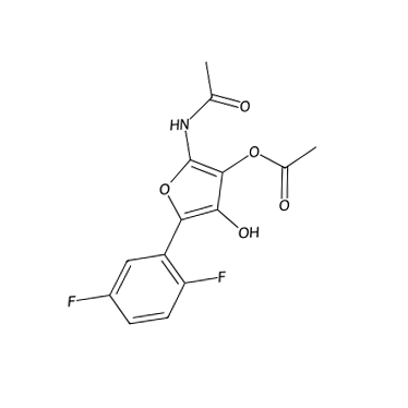 CC(=O)Nc1oc(-c2cc(F)ccc2F)c(O)c1OC(C)=O